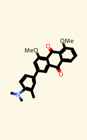 COc1cccc2c1C(=O)c1c(OC)cc(-c3ccc(N(C)C)c(C)c3)cc1C2=O